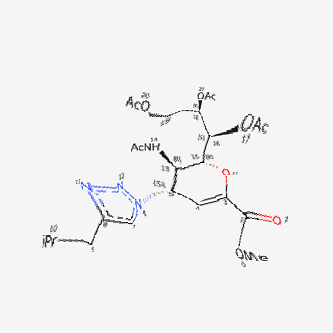 COC(=O)C1=C[C@H](n2cc(CC(C)C)nn2)[C@@H](NC(C)=O)[C@H]([C@H](OC(C)=O)[C@@H](COC(C)=O)OC(C)=O)O1